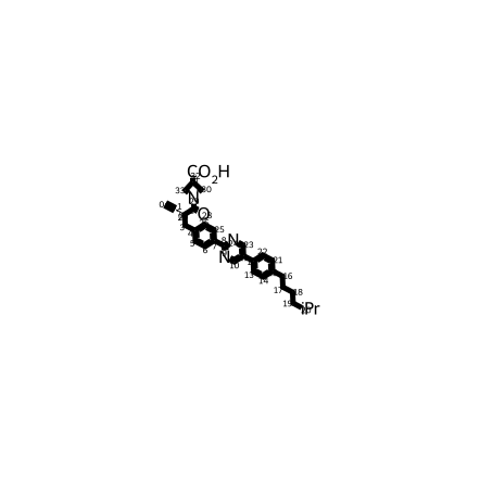 C#C[C@@H](Cc1ccc(-c2ncc(-c3ccc(CCCCC(C)C)cc3)cn2)cc1)C(=O)N1CC(C(=O)O)C1